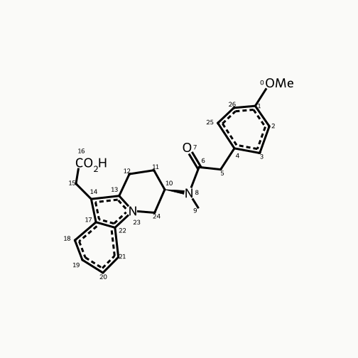 COc1ccc(CC(=O)N(C)[C@@H]2CCc3c(CC(=O)O)c4ccccc4n3C2)cc1